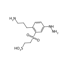 NCCCc1ccc(NN)cc1S(=O)(=O)CCS(=O)(=O)O